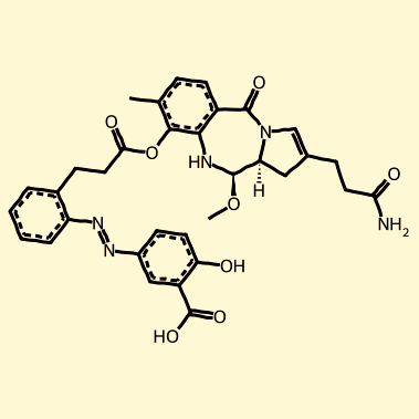 CO[C@H]1Nc2c(ccc(C)c2OC(=O)CCc2ccccc2/N=N/c2ccc(O)c(C(=O)O)c2)C(=O)N2C=C(CCC(N)=O)C[C@@H]12